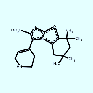 CCOC(=O)c1nc2sc3c(n2c1C1=CCNCC1)CC(C)(C)CC3(C)C